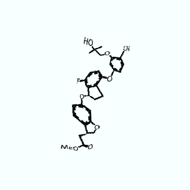 COC(=O)C[C@@H]1COc2cc(O[C@@H]3CCc4c(Oc5ccc(C#N)c(OCC(C)(C)O)c5)ccc(F)c43)ccc21